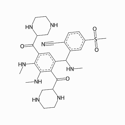 CNc1c(C(=O)C2CNCCN2)cc(C(NC)c2cc(S(C)(=O)=O)ccc2C#N)c(C(=O)C2CNCCN2)c1NC